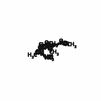 COc1cc(C(=O)N(C)c2ccc(C)cc2OCCCCCC(=O)N2CCN(C)CC2)ccc1NC(=O)c1ccc(C)cc1OCCCN.Cl.Cl